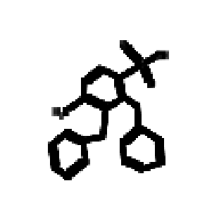 Nc1ccc(S(=O)(=O)O)c(Cc2ccccc2)c1Cc1ccccc1